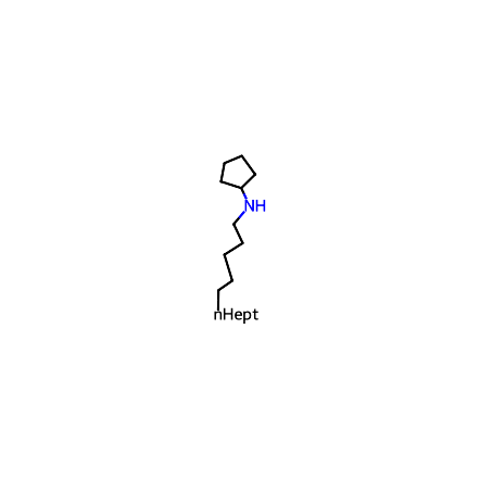 CCCCCCCCCCCCNC1CCCC1